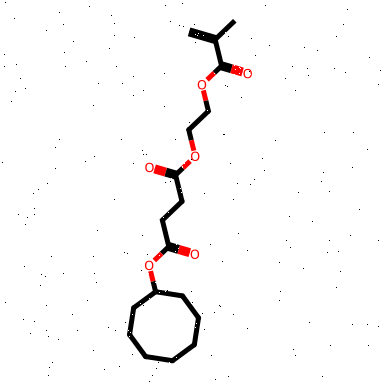 C=C(C)C(=O)OCCOC(=O)CCC(=O)OC1CCCCCCC1